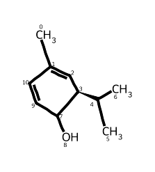 CC1=C[C@@H](C(C)C)C(O)C=C1